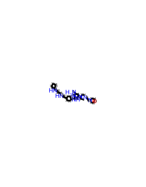 Nc1cc(N2CCN(CCN3CCOCC3)CC2)nc(NC2CCC(CCNCCCNC3CCCCC3)CC2)n1